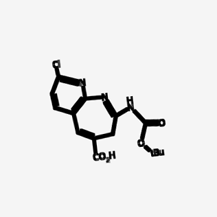 CC(C)(C)OC(=O)NC1=Nc2nc(Cl)ccc2C=C(C(=O)O)C1